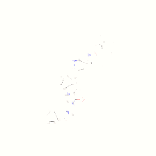 CC(NC(=O)OC(C)(C)C)c1ccc(Oc2ccc3c(c2)cc(C(=O)N2CCN(Cc4ccccc4)CC2)n3C)nc1